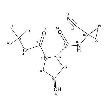 CC(C)(C)OC(=O)N1C[C@H](O)C[C@H]1C(=O)NC1(C#N)CC1